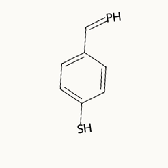 P=Cc1ccc(S)cc1